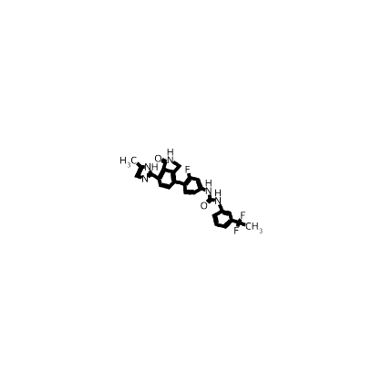 Cc1cnc(-c2ccc(-c3ccc(NC(=O)Nc4cccc(C(C)(F)F)c4)cc3F)c3c2C(=O)NC3)[nH]1